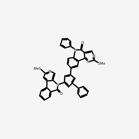 CSc1cc2c3ccccc3c(=O)n(-c3cc(-c4ccccc4)cc(-c4ccc5c(c4)c4nc(SC)ncc4c(=O)n5-c4ccccc4)c3)c2cn1